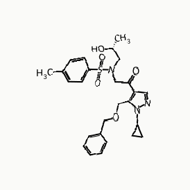 Cc1ccc(S(=O)(=O)N(CC(=O)c2cnn(C3CC3)c2COCc2ccccc2)C[C@@H](C)O)cc1